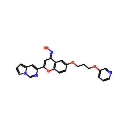 ON=c1cc(-c2cc3cccn3cn2)oc2ccc(OCCCOc3cccnc3)cc12